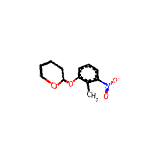 Cc1c(OC2CCCCO2)cccc1[N+](=O)[O-]